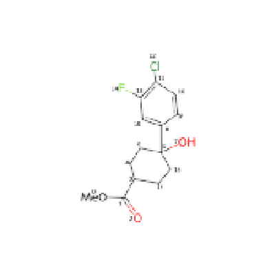 COC(=O)C1CCC(O)(c2ccc(Cl)c(F)c2)CC1